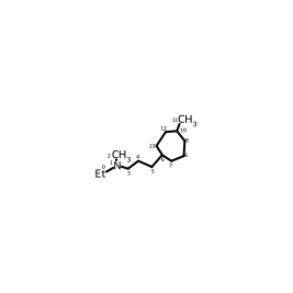 CCN(C)CCCC1CCCC(C)CC1